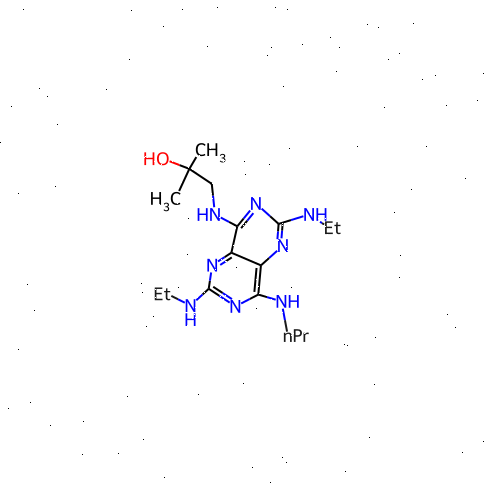 CCCNc1nc(NCC)nc2c(NCC(C)(C)O)nc(NCC)nc12